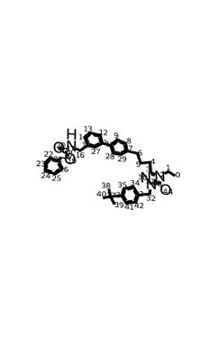 CCn1c(CCCc2ccc(-c3cccc(CNS(=O)(=O)c4ccccc4)c3)cc2)nn(Cc2ccc(C(C)(C)C)cc2)c1=O